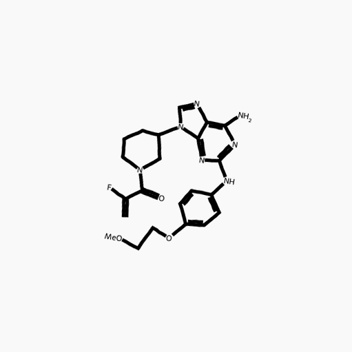 C=C(F)C(=O)N1CCCC(n2cnc3c(N)nc(Nc4ccc(OCCOC)cc4)nc32)C1